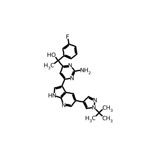 CC(O)(c1cccc(F)c1)c1cc(-c2c[nH]c3ncc(-c4cnn(C(C)(C)C)c4)cc23)nc(N)n1